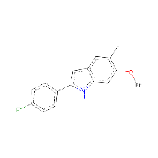 CCOc1cc2[nH]c(-c3ccc(F)cc3)cc2cc1C